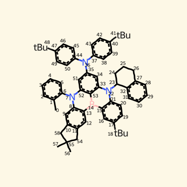 Cc1ccccc1N1c2cc3c(cc2B2c4cc(C(C)(C)C)ccc4N(C4CCCc5ccccc54)c4cc(N(c5ccc(C(C)(C)C)cc5)c5ccc(C(C)(C)C)cc5)cc1c42)CC(C)(C)C3